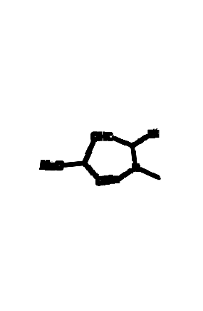 CCC(C=O)N(C)C.COC(C)OC